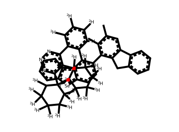 [2H]c1c([2H])c([2H])c(-c2c(-c3c(C)c(C)cc4c3Cc3ccccc3-4)ccc3[se]c4ccccc4c23)c(-c2nnnc(C3([2H])C([2H])C([2H])([2H])C([2H])([2H])C([2H])([2H])C3([2H])[2H])c2C2([2H])C([2H])C([2H])([2H])C([2H])([2H])C([2H])([2H])C2([2H])[2H])c1[2H]